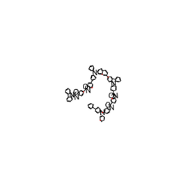 c1ccc(-c2ccc(N(c3ccccc3)c3ccc4nc(-c5ccc6nc(-c7ccc(-n8c9ccccc9c9cc(-c%10ccc%11ccc(N(c%12ccccc%12)c%12ccc(-c%13ccc%14nc(-c%15ccc%16nc(-n%17c%18ccccc%18c%18ccccc%18%17)oc%16c%15)oc%14c%13)cc%12)cc%11c%10)ccc98)cc7)oc6c5)oc4c3)cc2)cc1